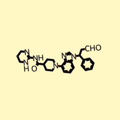 O=CCC(c1ccccc1)n1cnc2c(N3CCC(C(=O)NC4=NCCCN4)CC3)cccc21